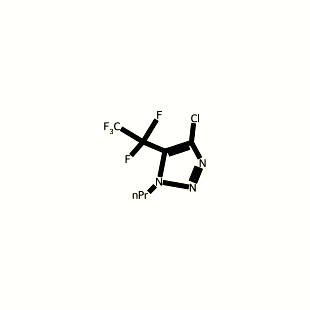 CCCn1nnc(Cl)c1C(F)(F)C(F)(F)F